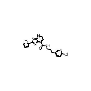 O=C(NCCCc1ccc(Cl)nc1)c1ccnc2[nH]c(-c3ccco3)nc12